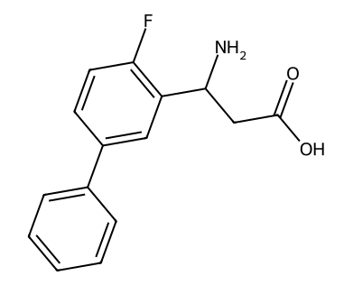 NC(CC(=O)O)c1cc(-c2ccccc2)ccc1F